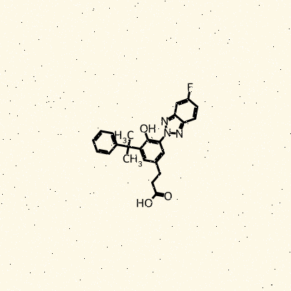 CC(C)(c1ccccc1)c1cc(CCC(=O)O)cc(-n2nc3ccc(F)cc3n2)c1O